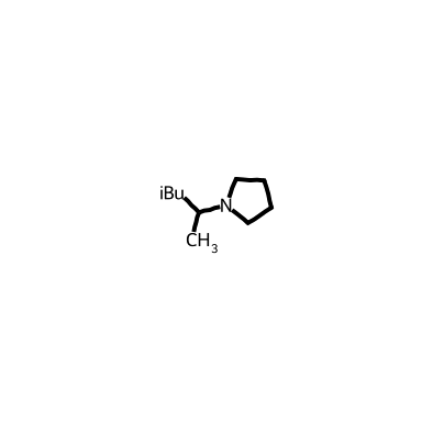 CCC(C)C(C)N1CCCC1